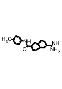 Cc1ccc(NC(=O)c2ccc3cc(C(=N)N)ccc3c2)cc1